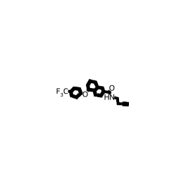 C#CCCNC(=O)c1ccc2c(Oc3ccc(C(F)(F)F)cc3)cccc2c1